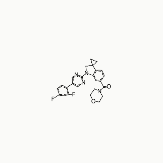 O=C(c1ccc2c(c1)N(c1ncc(-c3ccc(F)cc3F)cn1)CC21CC1)N1CCOCC1